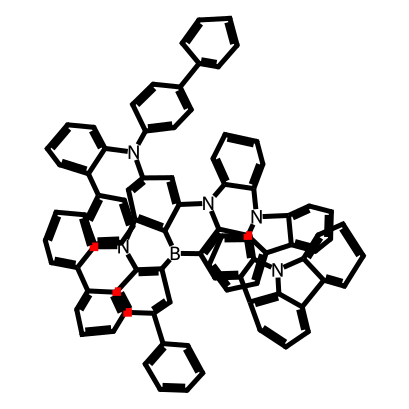 c1ccc(-c2ccc(N(c3cc4c5c(c3)N(c3ccccc3-n3c6ccccc6c6ccccc63)c3cc6c(cc3B5c3cc(-c5ccccc5)ccc3N4c3ccccc3-c3ccccc3)c3cccc4c5ccccc5n6c43)c3ccccc3-c3ccccc3)cc2)cc1